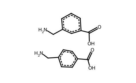 NCc1ccc(C(=O)O)cc1.NCc1cccc(C(=O)O)c1